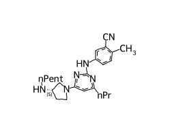 CCCCCN[C@H]1CCN(c2cc(CCC)nc(Nc3ccc(C)c(C#N)c3)n2)C1